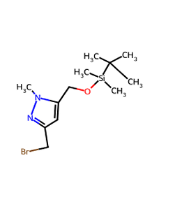 Cn1nc(CBr)cc1CO[Si](C)(C)C(C)(C)C